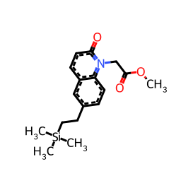 COC(=O)Cn1c(=O)ccc2cc(CC[Si](C)(C)C)ccc21